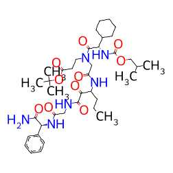 CCCC(NC(=O)CN(CCC(=O)OC(C)(C)C)C(=O)[C@@H](NC(=O)OCC(C)C)C1CCCCC1)C(=O)C(=O)NCC(=O)N[C@H](C(N)=O)c1ccccc1